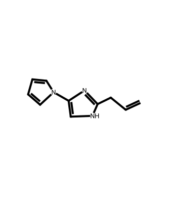 C=CCc1nc(-n2cccc2)c[nH]1